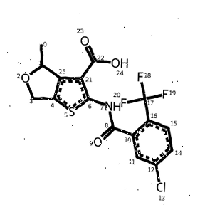 CC1OCc2sc(NC(=O)c3cc(Cl)ccc3C(F)(F)F)c(C(=O)O)c21